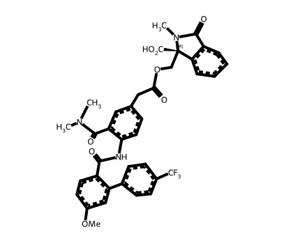 COc1ccc(C(=O)Nc2ccc(CC(=O)OC[C@@]3(C(=O)O)c4ccccc4C(=O)N3C)cc2C(=O)N(C)C)c(-c2ccc(C(F)(F)F)cc2)c1